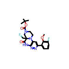 COc1c(F)cccc1-c1cc2c(nn1)NC(=O)C1(CF)CN(C(=O)OC(C)(C)C)CCN21